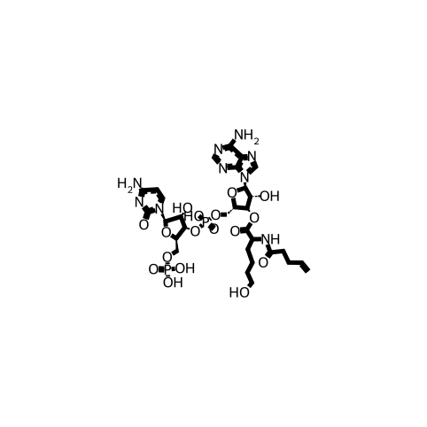 C=CCCC(=O)NC(CCCCO)C(=O)O[C@H]1[C@@H](O)[C@H](n2cnc3c(N)ncnc32)O[C@H]1COP(=O)(O)O[C@H]1[C@@H](O)[C@H](n2ccc(N)nc2=O)O[C@@H]1COP(=O)(O)O